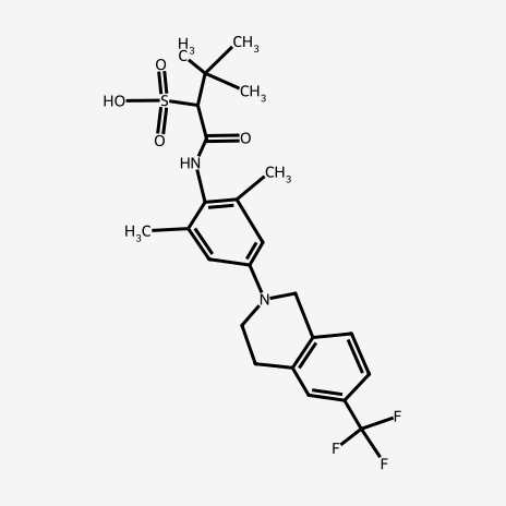 Cc1cc(N2CCc3cc(C(F)(F)F)ccc3C2)cc(C)c1NC(=O)C(C(C)(C)C)S(=O)(=O)O